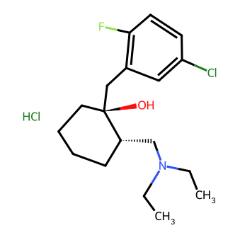 CCN(CC)C[C@@H]1CCCC[C@]1(O)Cc1cc(Cl)ccc1F.Cl